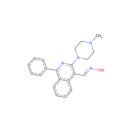 CN1CCN(c2nc(-c3ccccc3)c3ccccc3c2C=NO)CC1